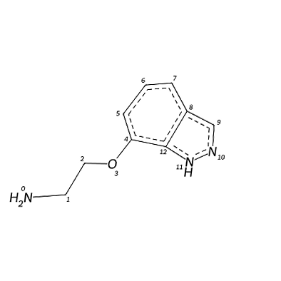 NCCOc1cccc2cn[nH]c12